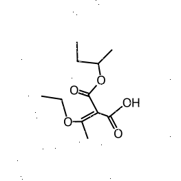 CCOC(C)=C(C(=O)O)C(=O)OC(C)CC